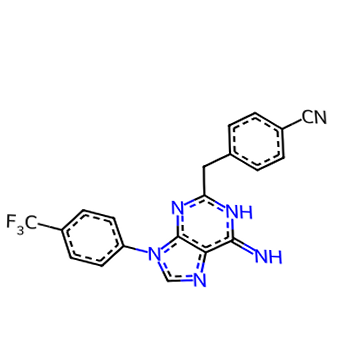 N#Cc1ccc(Cc2nc3c(ncn3-c3ccc(C(F)(F)F)cc3)c(=N)[nH]2)cc1